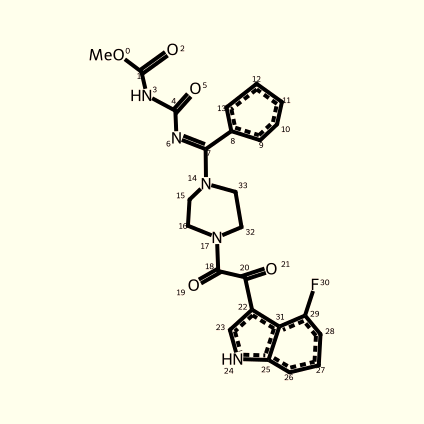 COC(=O)NC(=O)/N=C(\c1ccccc1)N1CCN(C(=O)C(=O)c2c[nH]c3cccc(F)c23)CC1